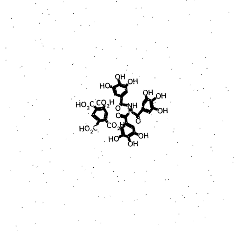 O=C(NN(C(=O)c1cc(O)c(O)c(O)c1)C(=O)c1cc(O)c(O)c(O)c1)c1cc(O)c(O)c(O)c1.O=C(O)c1cc(C(=O)O)c(C(=O)O)cc1C(=O)O